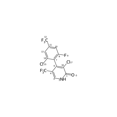 O=c1[nH]cc(C(F)(F)F)c(-c2c(F)cc(C(F)(F)F)cc2Cl)c1Cl